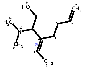 C=CCC/C(=C\C)C(CO)N(C)C